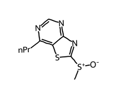 CCCc1ncnc2nc([S+](C)[O-])sc12